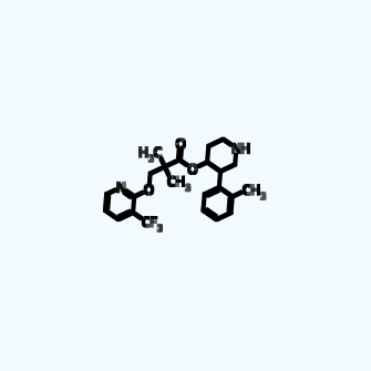 Cc1ccccc1C1CNCCC1OC(=O)C(C)(C)COc1ncccc1C(F)(F)F